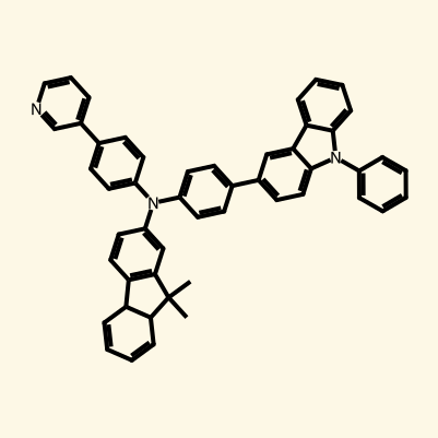 CC1(C)c2cc(N(c3ccc(-c4cccnc4)cc3)c3ccc(-c4ccc5c(c4)c4ccccc4n5-c4ccccc4)cc3)ccc2C2C=CC=CC21